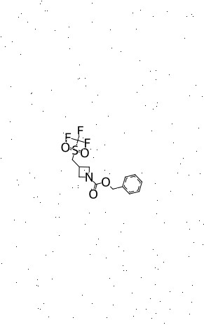 O=C(OCc1ccccc1)N1CC(CS(=O)(=O)C(F)(F)F)C1